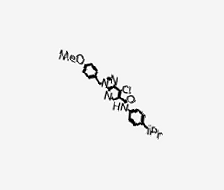 COc1ccc(Cn2cnc3c(Cl)c(C(=O)Nc4ccc(C(C)C)cc4)cnc32)cc1